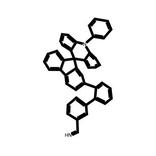 N=Cc1cccc(-c2ccccc2-c2ccc3c(c2)C2(c4ccccc4-3)c3ccccc3N(c3ccccc3)c3ccccc32)c1